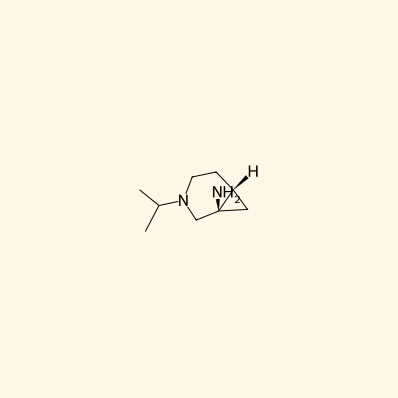 CC(C)N1CC[C@@H]2C[C@]2(N)C1